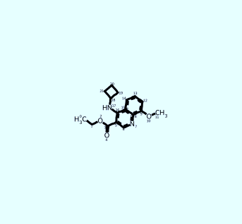 CCOC(=O)c1cnc2c(OC)cccc2c1NC1CCC1